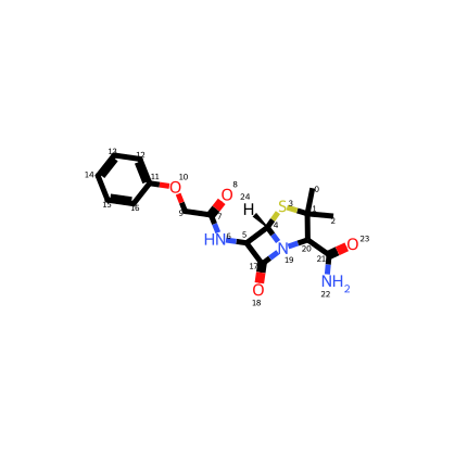 CC1(C)S[C@H]2C(NC(=O)COc3ccccc3)C(=O)N2C1C(N)=O